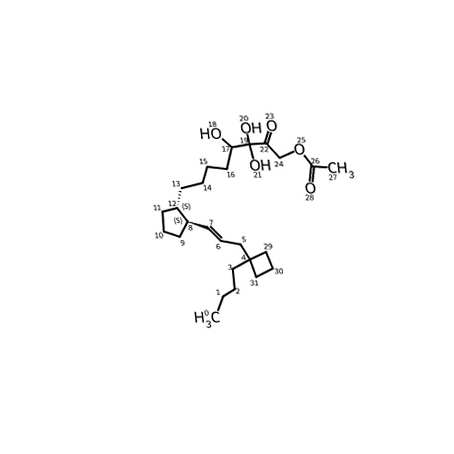 CCCCC1(CC=C[C@H]2CCC[C@@H]2CCCCC(O)C(O)(O)C(=O)COC(C)=O)CCC1